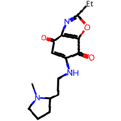 CCc1nc2c(o1)C(=O)C(NCCC1CCCN1C)=CC2=O